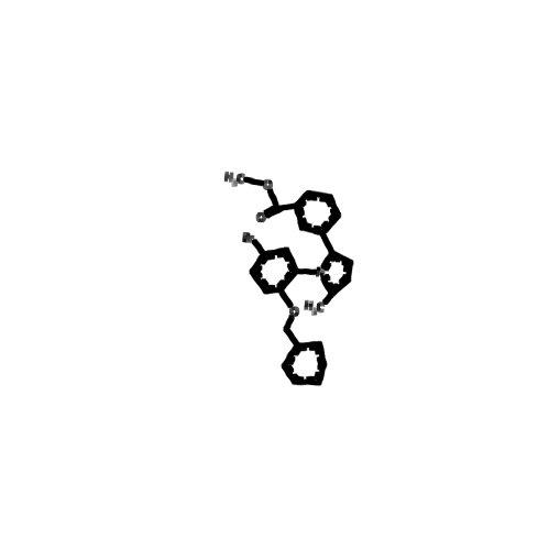 COC(=O)c1cccc(-c2ccc(C)n2-c2cc(Br)ccc2OCc2ccccc2)c1